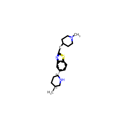 C[C@H]1CC[C@H](c2ccc3sc(CC4CCN(C)CC4)nc3c2)NC1